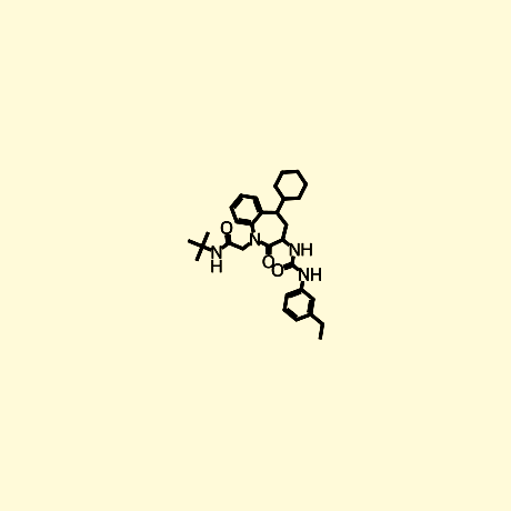 CCc1cccc(NC(=O)NC2CC(C3CCCCC3)c3ccccc3N(CC(=O)NC(C)(C)C)C2=O)c1